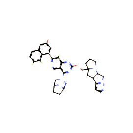 Oc1cc(-c2ncc3c(N4CC5CCC(C4)N5)nc(OCC45CCCN4C4Cn6nccc6C4C5)nc3c2F)c2c(F)c(F)ccc2c1